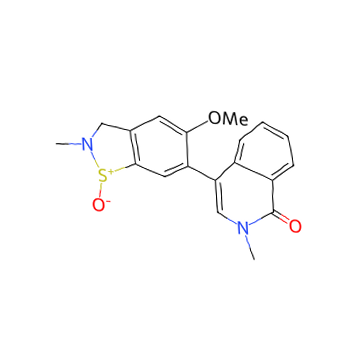 COc1cc2c(cc1-c1cn(C)c(=O)c3ccccc13)[S+]([O-])N(C)C2